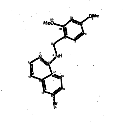 COc1ccc(CNc2nccc3cc(Br)ccc23)c(OC)c1